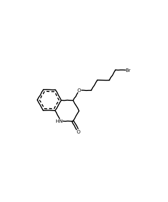 O=C1CC(OCCCCBr)c2ccccc2N1